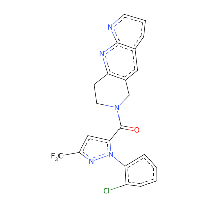 O=C(c1cc(C(F)(F)F)nn1-c1ccccc1Cl)N1CCc2nc3ncccc3cc2C1